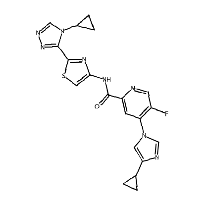 O=C(Nc1csc(-c2nncn2C2CC2)n1)c1cc(-n2cnc(C3CC3)c2)c(F)cn1